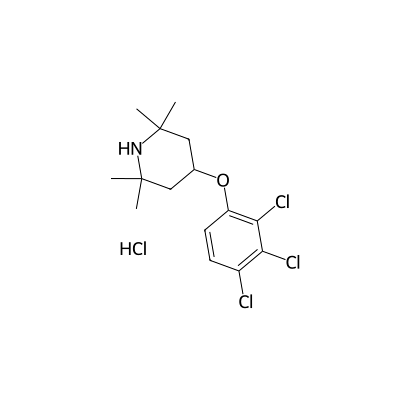 CC1(C)CC(Oc2ccc(Cl)c(Cl)c2Cl)CC(C)(C)N1.Cl